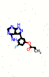 C=CC(=O)Oc1cc(F)cc(-c2n[nH]c3ncnc(N)c23)c1